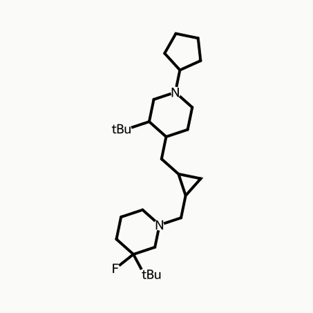 CC(C)(C)C1CN(C2CCCC2)CCC1CC1CC1CN1CCCC(F)(C(C)(C)C)C1